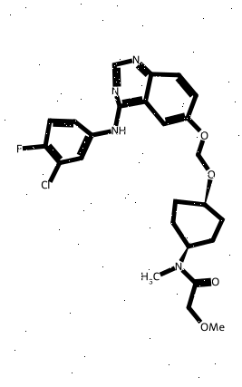 COCC(=O)N(C)[C@H]1CC[C@@H](OCOc2ccc3ncnc(Nc4ccc(F)c(Cl)c4)c3c2)CC1